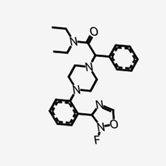 CCN(CC)C(=O)C(c1ccccc1)N1CCN(c2ccccc2C2N=CON2F)CC1